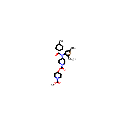 CC(C)(C)OC(=O)N1CCC(OC(=O)N2CCC(N(c3cc(C(C)(C)C)sc3C(=O)O)C(=O)[C@H]3CC[C@H](C)CC3)CC2)CC1